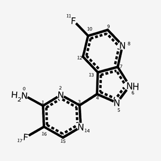 Nc1nc(-c2n[nH]c3ncc(F)cc23)ncc1F